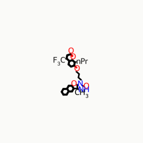 CCCc1c(OCCCCN2C(=O)NC(C)(c3ccc4ccccc4c3)C2=O)ccc2c(C(F)(F)F)cc(=O)oc12